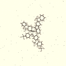 CC(C)(C)c1ccc(Nc2cc3c(cc2-c2ccc4c5cc6c(cc5n5c4c2Bc2cc4c(cc2-5)-c2ccccc2C4(C)C)C(C)(C)c2ccccc2-6)-c2ccc(C(C)(C)C)cc2C3(C)C)cc1